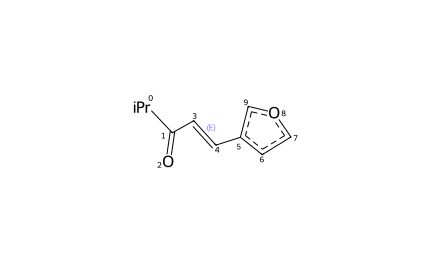 CC(C)C(=O)/C=C/c1ccoc1